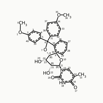 COc1ccc(C(O[C@@H]2CO[C@@H](n3cc(C)c(=O)[nH]c3=O)[C@H](O)[C@@H]2O)(c2ccccc2)c2ccc(OC)cc2)cc1